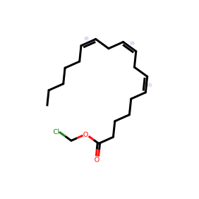 CCCCC/C=C\C/C=C\C/C=C\CCCCC(=O)OCCl